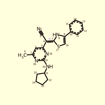 Cc1cc(/C(C#N)=C2/NC(c3ccccc3)=CS2)nc(NC2CCCC2)n1